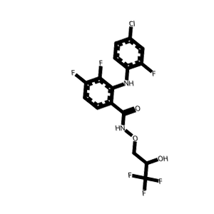 O=C(NOCC(O)C(F)(F)F)c1ccc(F)c(F)c1Nc1ccc(Cl)cc1F